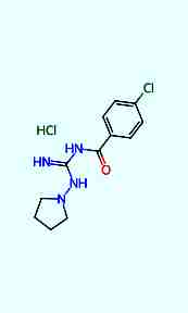 Cl.N=C(NC(=O)c1ccc(Cl)cc1)NN1CCCC1